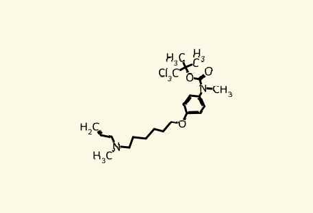 C=CCN(C)CCCCCCOc1ccc(N(C)C(=O)OC(C)(C)C(Cl)(Cl)Cl)cc1